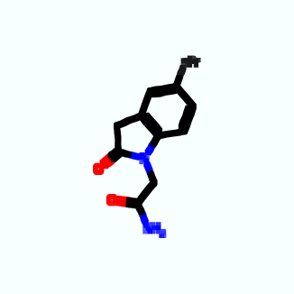 CCCc1ccc2c(c1)CC(=O)N2CC(N)=O